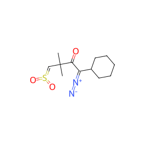 CC(C)(C=S(=O)=O)C(=O)C(=[N+]=[N-])C1CCCCC1